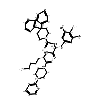 NCCCC[C@H](NC(=O)[C@@H](Cc1cc(Br)c(O)c(Br)c1)NC(=O)N1CCC(c2ccccc2)(c2ccccc2)CC1)C(=O)N1CCN(c2ccccn2)CC1